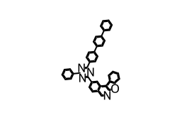 c1ccc(-c2ccc(-c3ccc(-c4nc(-c5ccccc5)nc(-c5ccc6cnc7oc8ccccc8c7c6c5)n4)cc3)cc2)cc1